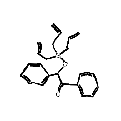 C=CC[Si](CC=C)(CC=C)OC(C(=O)c1ccccc1)c1ccccc1